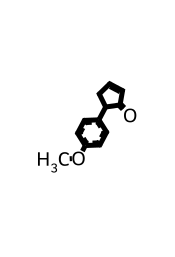 COc1ccc(C2CC=CC2=O)cc1